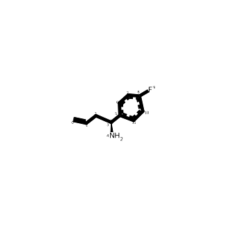 C=CC[C@H](N)c1ccc(F)cc1